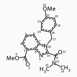 COC(=O)c1cccc2c1nc(C(=O)N(C)C)n2Cc1ccc(OC)cc1